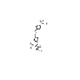 BC(Cc1ccc(OCCc2ccc(C(C)O)cn2)cc1)(SC=O)C(=O)NC